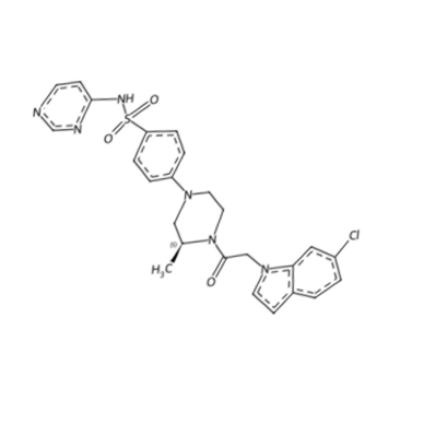 C[C@H]1CN(c2ccc(S(=O)(=O)Nc3ccncn3)cc2)CCN1C(=O)Cn1ccc2ccc(Cl)cc21